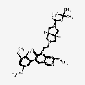 COc1cc(OC)c(Cl)c(-c2cc3cnc(SC)nc3n(CCN3C[C@H]4CN(C(=O)OC(C)(C)C)C[C@@H]4C3)c2=O)c1